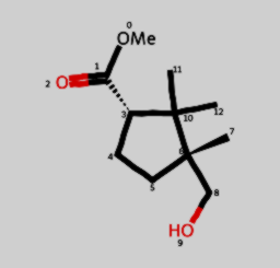 COC(=O)[C@H]1CC[C@@](C)(CO)C1(C)C